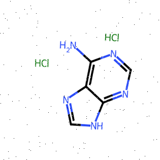 Cl.Cl.Nc1ncnc2[nH]cnc12